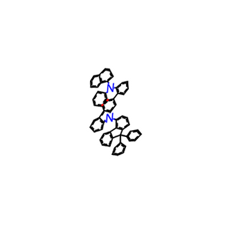 c1ccc(N(c2ccccc2-c2ccc3c4ccccc4n(-c4cccc5c4-c4ccccc4C5(c4ccccc4)c4ccccc4)c3c2)c2cccc3ccccc23)cc1